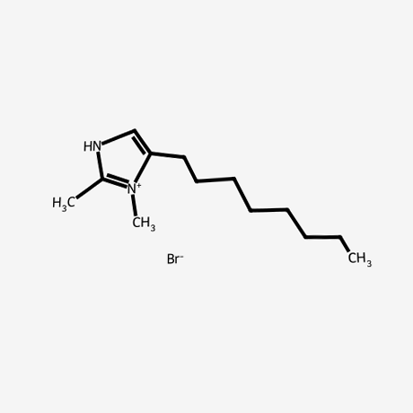 CCCCCCCCc1c[nH]c(C)[n+]1C.[Br-]